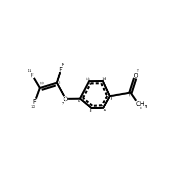 CC(=O)c1ccc(OC(F)=C(F)F)cc1